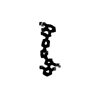 CN1N=C(c2csc(C3CCN(C(=O)Cn4cccc(C(F)(F)F)c4=O)CC3)n2)CC1c1c(Cl)cccc1Cl